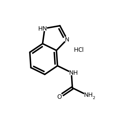 Cl.NC(=O)Nc1cccc2[nH]cnc12